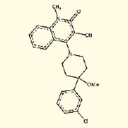 COC1(c2cccc(Cl)c2)CCN(c2c(C#N)c(=O)n(C)c3ccccc23)CC1